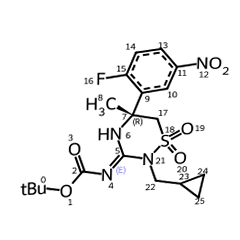 CC(C)(C)OC(=O)/N=C1\N[C@](C)(c2cc([N+](=O)[O-])ccc2F)CS(=O)(=O)N1CC1CC1